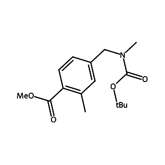 COC(=O)c1ccc(CN(C)C(=O)OC(C)(C)C)cc1C